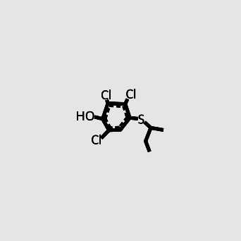 CCC(C)Sc1cc(Cl)c(O)c(Cl)c1Cl